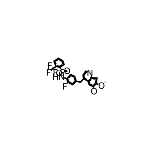 COc1cc2nccc(Cc3ccc(NS(=O)(=O)c4ccccc4C(F)(F)F)c(F)c3)c2cc1OC